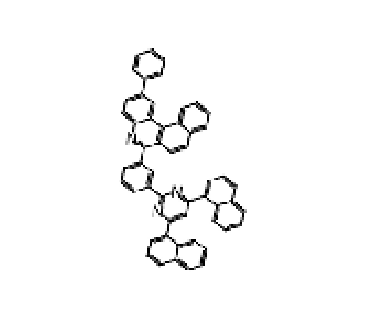 c1ccc(-c2ccc3nc(-c4cccc(-c5nc(-c6cccc7ccccc67)cc(-c6cccc7ccccc67)n5)c4)c4ccc5ccccc5c4c3c2)cc1